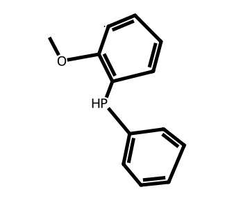 COc1[c]cccc1Pc1ccccc1